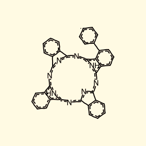 [c]1ccc(-c2cccc3c4nc5nc(nc6[nH]c(nc7nc(nc([nH]4)c23)-c2ccccc2-7)c2ccccc62)-c2ccccc2-5)cc1